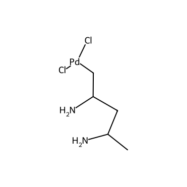 CC(N)CC(N)[CH2][Pd]([Cl])[Cl]